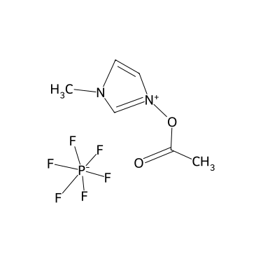 CC(=O)O[n+]1ccn(C)c1.F[P-](F)(F)(F)(F)F